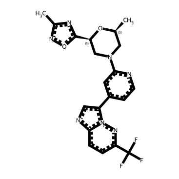 Cc1noc([C@@H]2CN(c3cc(-c4cnc5ccc(C(F)(F)F)nn45)ccn3)C[C@H](C)O2)n1